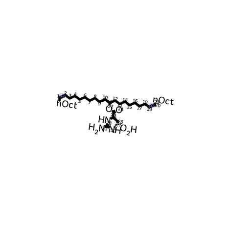 CCCCCCCC/C=C\CCCCCCCCC(CCCCCCC/C=C\CCCCCCCC)OC(=O)C(CC(=O)O)NC(=N)N